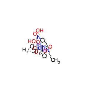 CCCCCNC(=O)[C@H](Cc1ccc(N(CC(=O)O)CC(=O)O)cc1)NC(=O)[C@H](Cc1ccccc1)NC(=O)OC(C)(C)C